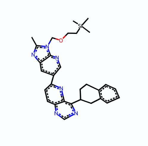 Cc1nc2cc(-c3ccc4ncnc(C5CCc6ccccc6C5)c4n3)cnc2n1COCC[Si](C)(C)C